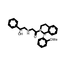 COc1ccccc1[C@H]1c2ccccc2CCN1C(=O)CNC[C@H](O)c1ccccc1